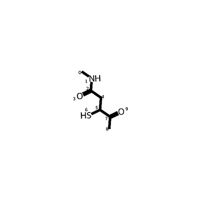 CNC(=O)CC(S)C(C)=O